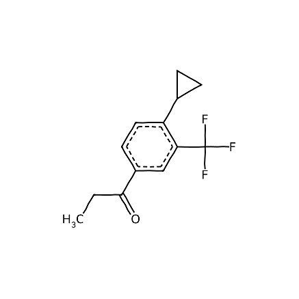 CCC(=O)c1ccc(C2CC2)c(C(F)(F)F)c1